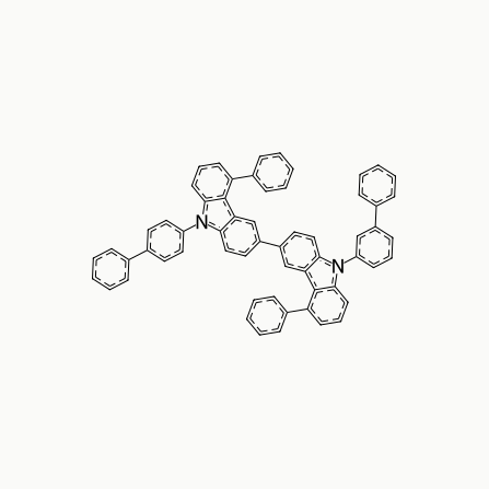 c1ccc(-c2ccc(-n3c4ccc(-c5ccc6c(c5)c5c(-c7ccccc7)cccc5n6-c5cccc(-c6ccccc6)c5)cc4c4c(-c5ccccc5)cccc43)cc2)cc1